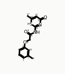 Cc1cccc(OCC(=O)Nc2nc(=O)cc(C)s2)c1